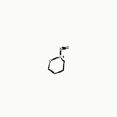 O=N[SiH]1CCCCO1